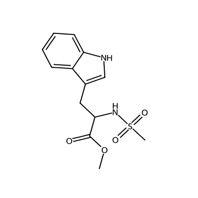 COC(=O)C(Cc1c[nH]c2ccccc12)NS(C)(=O)=O